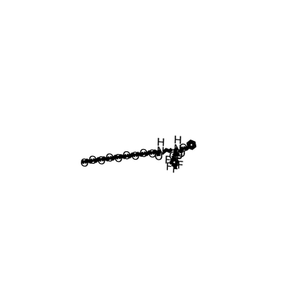 COCCOCCOCCOCCOCCOCCOCCOCCOCC(=O)NCCCC[C@H](NC(=O)OCc1ccccc1)C(=O)Oc1c(F)c(F)c(F)c(F)c1F